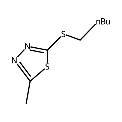 CCCCCSc1nnc(C)s1